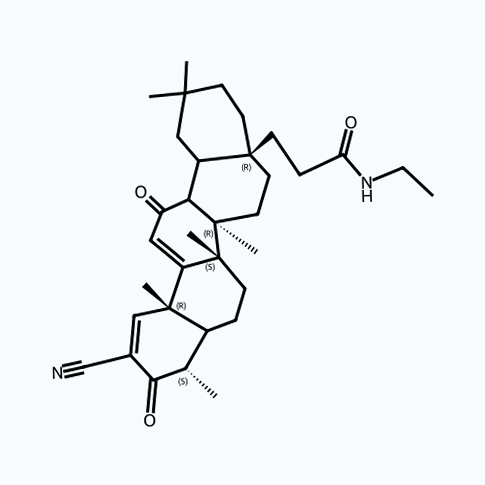 CCNC(=O)CC[C@]12CCC(C)(C)CC1C1C(=O)C=C3[C@@]4(C)C=C(C#N)C(=O)[C@@H](C)C4CC[C@@]3(C)[C@]1(C)CC2